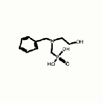 O=P(O)(O)CN(CCO)Cc1ccccc1